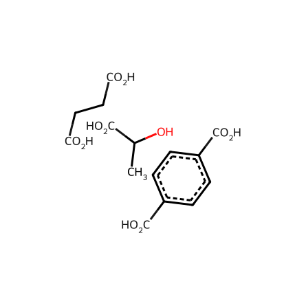 CC(O)C(=O)O.O=C(O)CCC(=O)O.O=C(O)c1ccc(C(=O)O)cc1